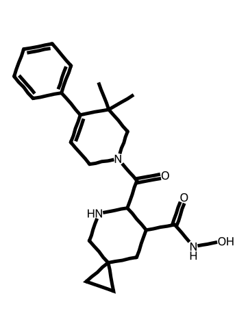 CC1(C)CN(C(=O)C2NCC3(CC3)CC2C(=O)NO)CC=C1c1ccccc1